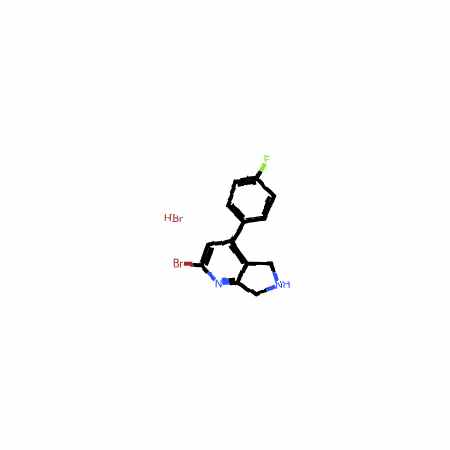 Br.Fc1ccc(-c2cc(Br)nc3c2CNC3)cc1